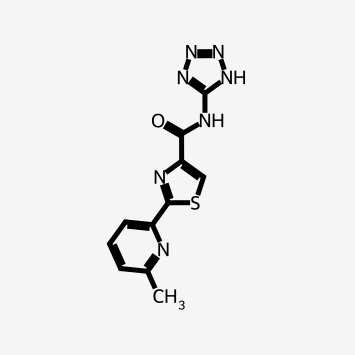 Cc1cccc(-c2nc(C(=O)Nc3nnn[nH]3)cs2)n1